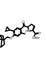 COC(=O)C1=CCC(C(=O)c2cc(C3CC3)c(OCC34CC5CC(CC(C5)C3)C4)cc2F)N1